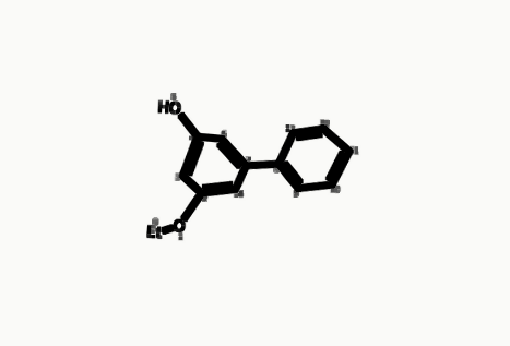 CCOc1cc(O)cc(-c2ccccc2)c1